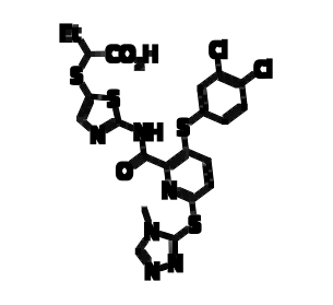 CCC(Sc1cnc(NC(=O)c2nc(Sc3nncn3C)ccc2Sc2ccc(Cl)c(Cl)c2)s1)C(=O)O